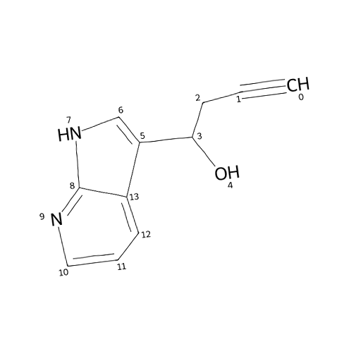 C#CCC(O)c1c[nH]c2ncccc12